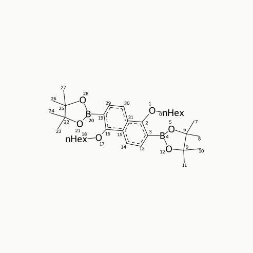 CCCCCCOc1c(B2OC(C)(C)C(C)(C)O2)ccc2c(OCCCCCC)c(B3OC(C)(C)C(C)(C)O3)ccc12